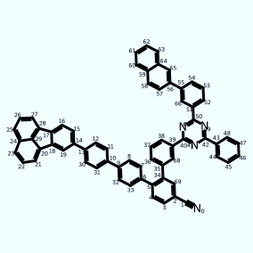 N#Cc1ccc(-c2ccc(-c3ccc(-c4ccc5c(c4)-c4cccc6cccc-5c46)cc3)cc2)c(-c2cccc(-c3nc(-c4ccccc4)nc(-c4cccc(-c5ccc6ccccc6c5)c4)n3)c2)c1